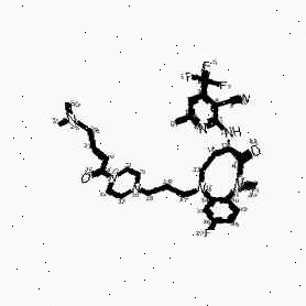 Cc1cc(C(F)(F)F)c(C#N)c(N[C@H]2CCN(CCCN3CCN(C(=O)/C=C/CN(C)C)CC3)c3cc(F)ccc3N(C)C2=O)n1